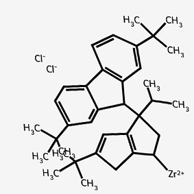 CC(C)C1(C2c3cc(C(C)(C)C)ccc3-c3ccc(C(C)(C)C)cc32)C[CH]([Zr+2])C2=C1C=C(C(C)(C)C)C2.[Cl-].[Cl-]